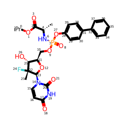 CC(C)OC(=O)[C@H](C)N[P@](=O)(OC[C@H]1O[C@@H](n2ccc(=O)[nH]c2=O)[C@](C)(F)[C@@H]1O)Oc1ccc(-c2ccccc2)cc1